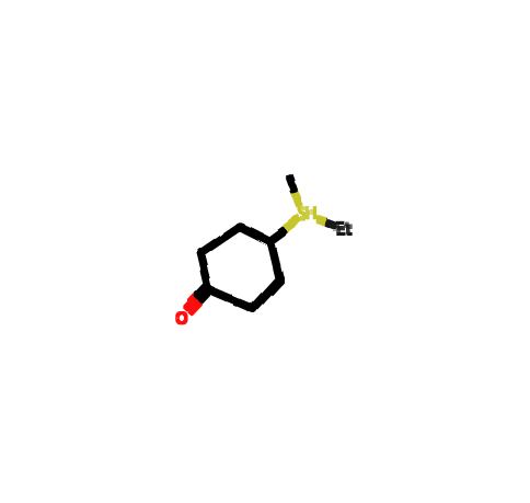 CC[SH](C)C1CCC(=O)CC1